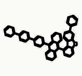 c1ccc(-c2ccc(-c3ccc(-c4c5ccccc5c(-c5cccc6oc7cc(-c8ccccc8)ccc7c56)c5ccccc45)cc3)cc2)cc1